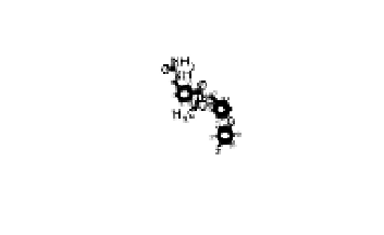 CN(C)c1ccc(CNC(N)=O)cc1C(=O)NCc1ccc(Oc2ccc(F)cc2)cc1